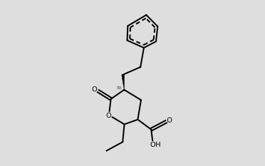 CCC1OC(=O)[C@@H](CCc2ccccc2)CC1C(=O)O